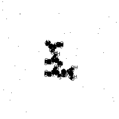 Cc1c(Sc2ccc(S(C)(=O)=O)cc2)c2cc(-c3ccsc3)ccc2n1CC(=O)O.Cc1c(Sc2ccc(S(C)(=O)=O)cc2)c2cc(-c3cncnc3)ccc2n1CC(=O)O.Cc1c(Sc2ccccc2S(C)(=O)=O)c2cc(NS(C)(=O)=O)ccc2n1CC(=O)O.Cc1noc(C)c1-c1ccc2c(c1)c(Sc1ccc(S(C)(=O)=O)cc1)c(C)n2CC(=O)O